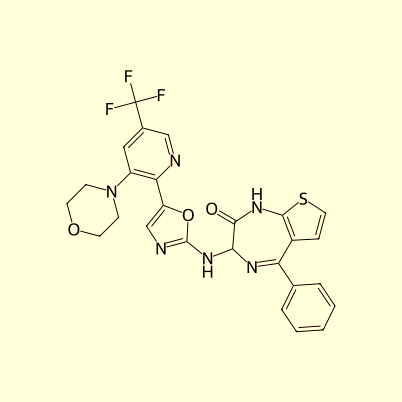 O=C1Nc2sccc2C(c2ccccc2)=NC1Nc1ncc(-c2ncc(C(F)(F)F)cc2N2CCOCC2)o1